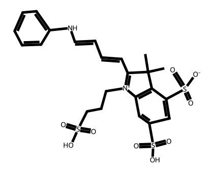 CC1(C)C(/C=C/C=C/Nc2ccccc2)=[N+](CCCS(=O)(=O)O)c2cc(S(=O)(=O)O)cc(S(=O)(=O)[O-])c21